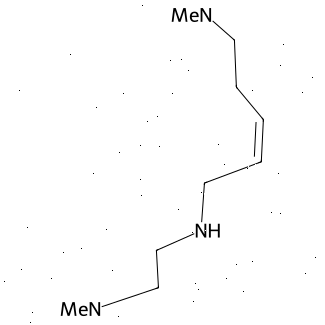 CNCC/C=C\CNCCNC